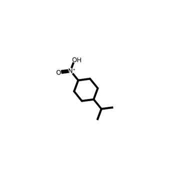 CC(C)C1CCC([N+](=O)O)CC1